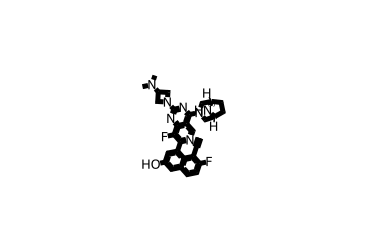 C#Cc1c(F)ccc2cc(O)cc(-c3ncc4c(N5C[C@H]6CC[C@@H](C5)N6)nc(N5CC(N(C)C)C5)nc4c3F)c12